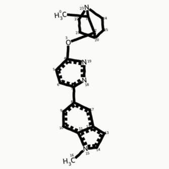 CC1C(Oc2ccc(-c3ccc4c(ccn4C)c3)nn2)C2CCN1CC2